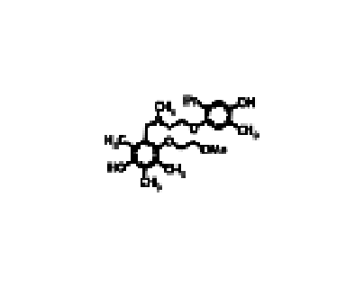 COCCOc1c(C)c(C)c(O)c(C)c1CN(C)CCOc1cc(C)c(O)cc1C(C)C